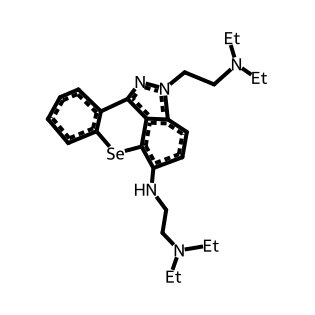 CCN(CC)CCNc1ccc2c3c(nn2CCN(CC)CC)-c2ccccc2[Se]c13